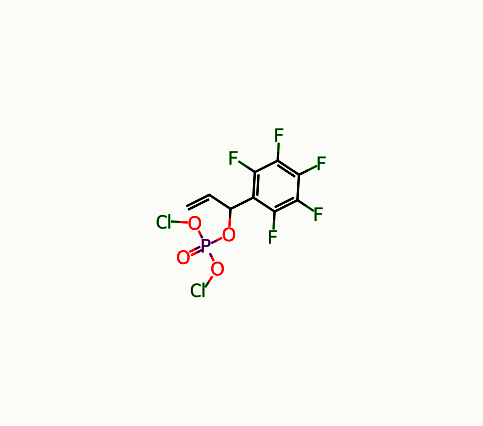 C=CC(OP(=O)(OCl)OCl)c1c(F)c(F)c(F)c(F)c1F